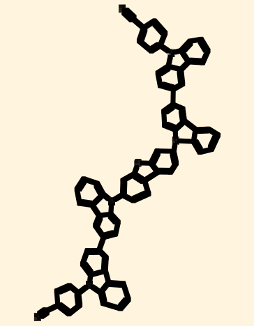 N#Cc1ccc(-n2c3ccccc3c3cc(-c4ccc5c(c4)c4ccccc4n5-c4ccc5c(c4)oc4cc(-n6c7ccccc7c7cc(-c8ccc9c(c8)c8ccccc8n9-c8ccc(C#N)cc8)ccc76)ccc45)ccc32)cc1